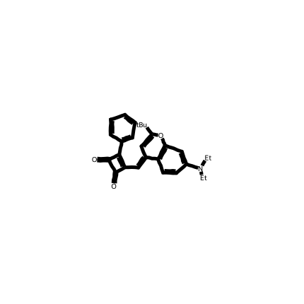 CCN(CC)c1ccc2c(c1)OC(C(C)(C)C)=CC2=Cc1c(-c2ccccc2)c(=O)c1=O